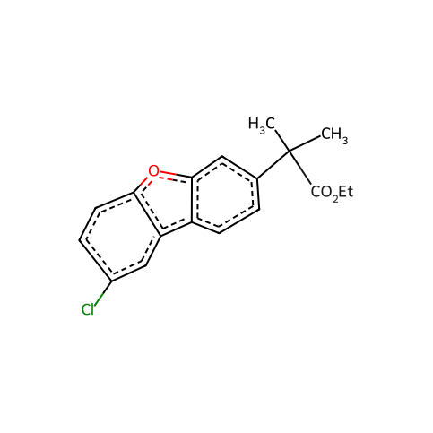 CCOC(=O)C(C)(C)c1ccc2c(c1)oc1ccc(Cl)cc12